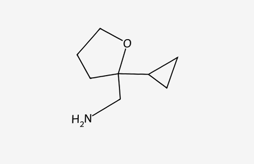 NCC1(C2CC2)CCCO1